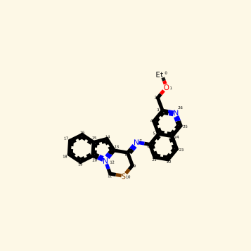 CCOCc1cc2c(N=C3CSCn4c3cc3ccccc34)cccc2cn1